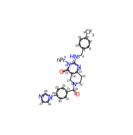 CCCn1c(NCc2ccc(C(F)(F)F)cc2)nc2c(c1=O)CN(C(=O)c1ccc(-n3ccnc3)cc1)CC2